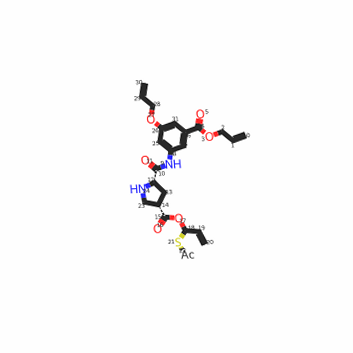 C=CCOC(=O)c1cc(NC(=O)[C@@H]2C[C@H](C(=O)OC(C=C)SC(C)=O)CN2)cc(OCC=C)c1